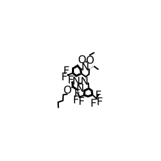 CCCCCOc1cnc(N(Cc2cc(C(F)(F)F)cc(C(F)(F)F)c2)[C@H]2C[C@@H](CC)N(C(=O)OCC)c3ccc(C(F)(F)F)cc32)nc1